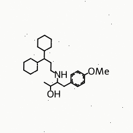 COc1ccc(CC(NCCC(C2CCCCC2)C2CCCCC2)C(C)O)cc1